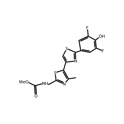 COC(=O)NCc1nc(C)c(-c2csc(-c3cc(F)c(O)c(F)c3)n2)s1